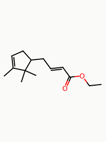 CCOC(=O)/C=C/CC1CC=C(C)C1(C)C